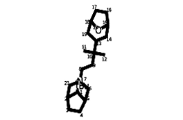 CC(C)(C)C1C2CCC1CN(CCC(C)(C)C1CC3CCC(C1)O3)C2